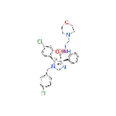 O=C(NCCN1CCOCC1)[C@]1(c2ccccc2)N=CN(Cc2ccc(Cl)cc2)[C@H]1c1ccc(Cl)cc1O